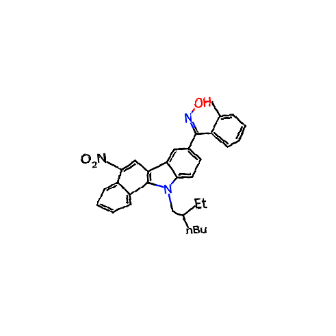 CCCCC(CC)Cn1c2ccc(C(=NO)c3ccccc3C)cc2c2cc([N+](=O)[O-])c3ccccc3c21